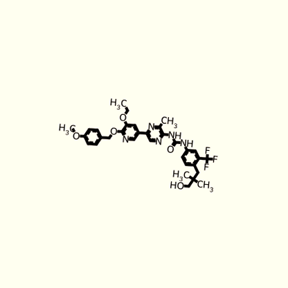 CCOc1cc(-c2cnc(NC(=O)Nc3ccc(CC(C)(C)CO)c(C(F)(F)F)c3)c(C)n2)cnc1OCc1ccc(OC)cc1